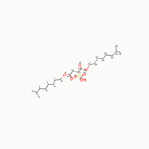 CC(C)CCCCCCOC(=O)CC(C(=O)OCCCCCCC(C)C)S(=O)(=O)O